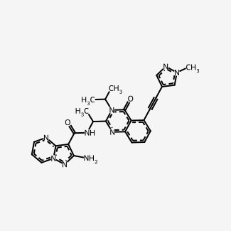 CC(NC(=O)c1c(N)nn2cccnc12)c1nc2cccc(C#Cc3cnn(C)c3)c2c(=O)n1C(C)C